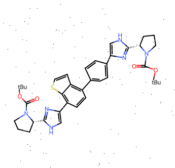 CC(C)(C)OC(=O)N1CCC[C@H]1c1nc(-c2ccc(-c3ccc(-c4c[nH]c([C@@H]5CCCN5C(=O)OC(C)(C)C)n4)c4sccc34)cc2)c[nH]1